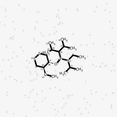 CCN(C(C)C)P(O[C@H]1CSSC[C@@H]1OC)C(C(C)C)C(C)C